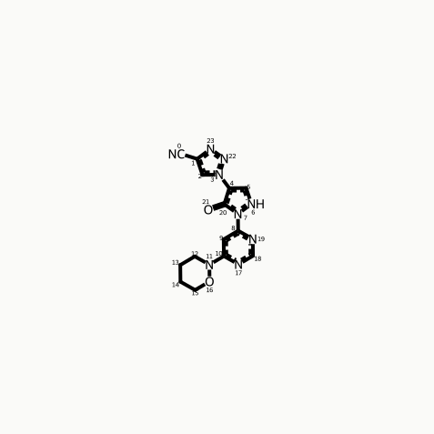 N#Cc1cn(-c2c[nH]n(-c3cc(N4CCCCO4)ncn3)c2=O)nn1